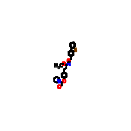 COC(CCc1ccc(OC(C=O)N2CCCCC2)cc1)=NOCc1ccc2c(c1)sc1ccccc12